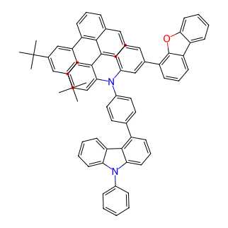 CC(C)(C)c1cc(-c2cccc3cccc(-c4ccccc4N(c4ccc(-c5cccc6c5c5ccccc5n6-c5ccccc5)cc4)c4cccc(-c5cccc6c5oc5ccccc56)c4)c23)cc(C(C)(C)C)c1